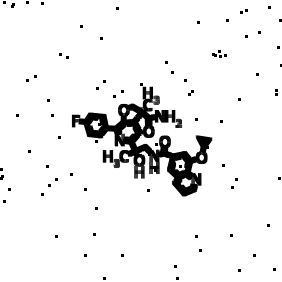 CC(O)(CNC(=O)c1cc(OC2CC2)c2ncccc2c1)c1cc2c(c(-c3ccc(F)cc3)n1)OC[C@]2(C)C(N)=O